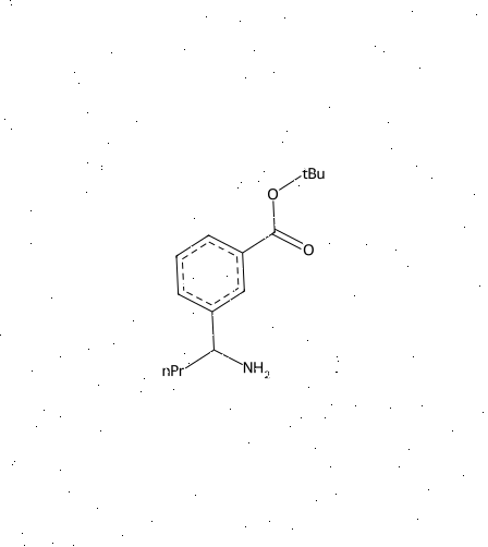 CCCC(N)c1cccc(C(=O)OC(C)(C)C)c1